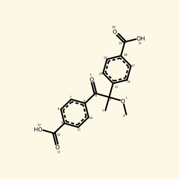 COC(C)(C(=O)c1ccc(C(=O)O)cc1)c1ccc(C(=O)O)cc1